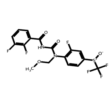 COCN(C(=O)NC(=O)c1cccc(F)c1F)c1ccc([S+]([O-])C(F)(F)F)cc1F